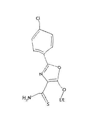 CCOc1oc(-c2ccc(Cl)cc2)nc1C(N)=S